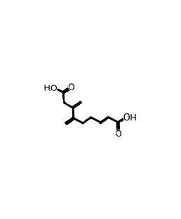 C=C(CCCCC(=O)O)C(=C)CC(=O)O